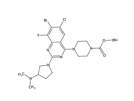 CN(C)C1CCN(c2nc(N3CCN(C(=O)OC(C)(C)C)CC3)c3cc(Cl)c(Br)c(F)c3n2)C1